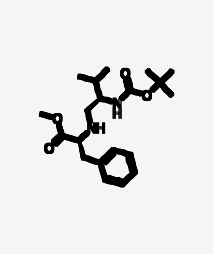 COC(=O)[C@H](Cc1ccccc1)NC[C@H](NC(=O)OC(C)(C)C)C(C)C